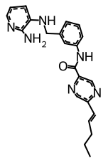 CCC/C=C/c1cnc(C(=O)Nc2cccc(CNc3cccnc3N)c2)cn1